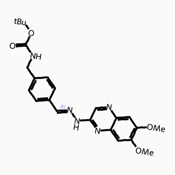 COc1cc2ncc(N/N=C/c3ccc(CNC(=O)OC(C)(C)C)cc3)nc2cc1OC